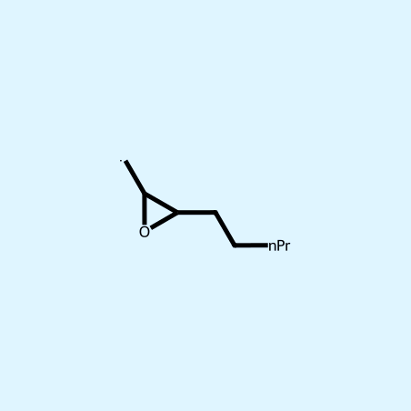 [CH2]C1OC1CCCCC